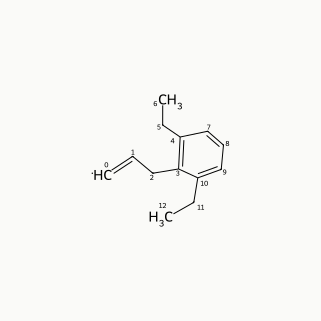 [CH]=CCc1c(CC)cccc1CC